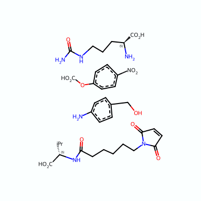 CC(C)[C@H](NC(=O)CCCCCN1C(=O)C=CC1=O)C(=O)O.NC(=O)NCCC[C@H](N)C(=O)O.Nc1ccc(CO)cc1.O=C(O)Oc1ccc([N+](=O)[O-])cc1